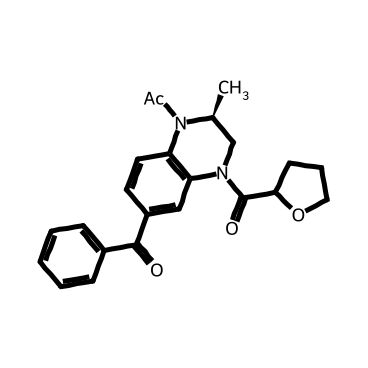 CC(=O)N1c2ccc(C(=O)c3ccccc3)cc2N(C(=O)C2CCCO2)C[C@@H]1C